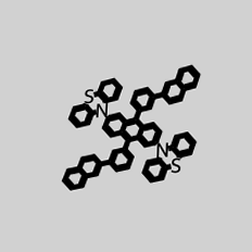 C1=CC2=C(CC1)Sc1ccccc1N2c1ccc2c(-c3cccc(-c4ccc5ccccc5c4)c3)c3cc(N4c5ccccc5Sc5ccccc54)ccc3c(-c3cccc(-c4ccc5ccccc5c4)c3)c2c1